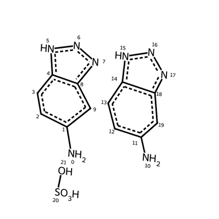 Nc1ccc2[nH]nnc2c1.Nc1ccc2[nH]nnc2c1.O=S(=O)(O)O